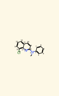 CN(c1ccccc1)c1ccc2cccc(Cl)c2n1